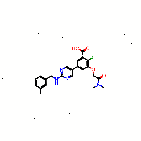 Cc1cccc(CNc2ncc(-c3cc(OCC(=O)N(C)C)c(Cl)c(C(=O)O)c3)cn2)c1